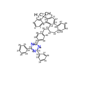 CC1(C)c2ccccc2-c2c1ccc1c2C(Cc2ccc(-c3nc(-c4ccccc4)nc(-c4ccccc4)n3)cc2)CCc2ccccc2-1